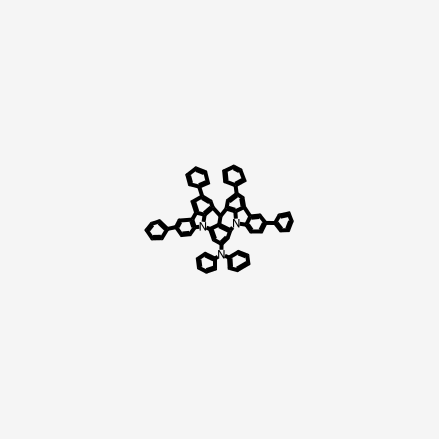 c1ccc(-c2ccc3c(c2)c2cc(-c4ccccc4)cc4c2n3-c2cc(N(c3ccccc3)c3ccccc3)cc3c2C4c2cc(-c4ccccc4)cc4c5cc(-c6ccccc6)ccc5n-3c24)cc1